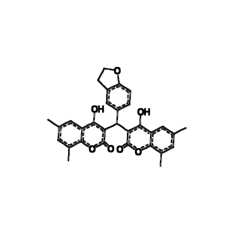 Cc1cc(C)c2oc(=O)c(C(c3ccc4c(c3)CCO4)c3c(O)c4cc(C)cc(C)c4oc3=O)c(O)c2c1